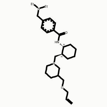 C=CCOCC1CCCN(C[C@@H]2CCCC[C@H]2NC(=O)c2ccc(CN(CC)CC)cc2)C1